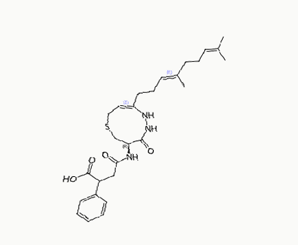 CC(C)=CCC/C(C)=C/CC/C1=C/CSC[C@H](NC(=O)CC(C(=O)O)c2ccccc2)C(=O)NN1